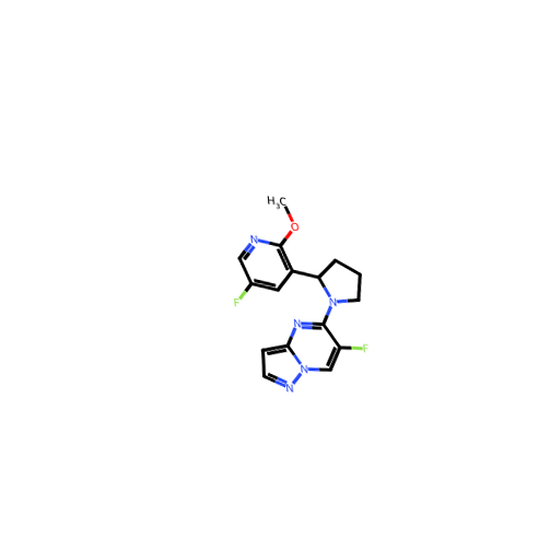 COc1ncc(F)cc1C1CCCN1c1nc2ccnn2cc1F